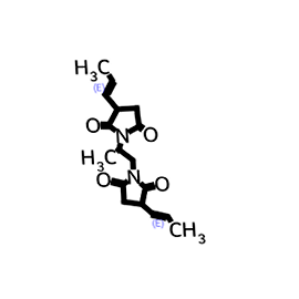 C/C=C/C1CC(=O)N(CC(C)N2C(=O)CC(/C=C/C)C2=O)C1=O